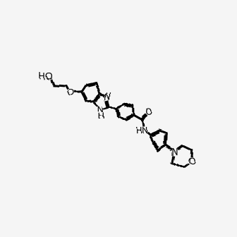 O=C(Nc1ccc(N2CCOCC2)cc1)c1ccc(-c2nc3ccc(OCCO)cc3[nH]2)cc1